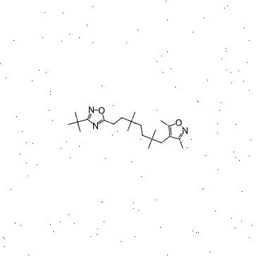 Cc1noc(C)c1CC(C)(C)CCC(C)(C)CCc1nc(C(C)(C)C)no1